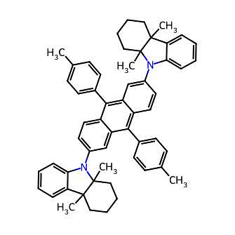 Cc1ccc(-c2c3ccc(N4c5ccccc5C5(C)CCCCC45C)cc3c(-c3ccc(C)cc3)c3ccc(N4c5ccccc5C5(C)CCCCC45C)cc23)cc1